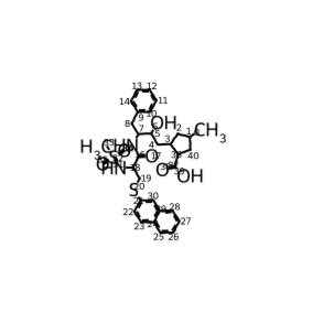 CC1CC(CC(O)C(Cc2ccccc2)NC(=O)C(CSc2ccc3ccccc3c2)NS(C)(=O)=O)C(C(=O)O)C1